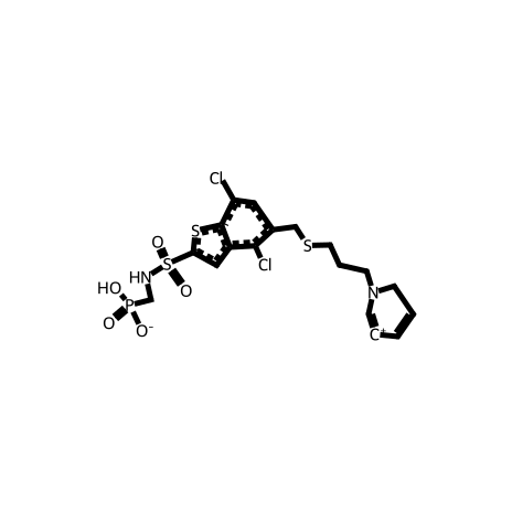 O=P([O-])(O)CNS(=O)(=O)c1cc2c(Cl)c(CSCCCN3C=[C+]C=CC3)cc(Cl)c2s1